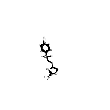 C[Si](C)(CC[C@H]1COC(N)=N1)c1ccc(Cl)cc1